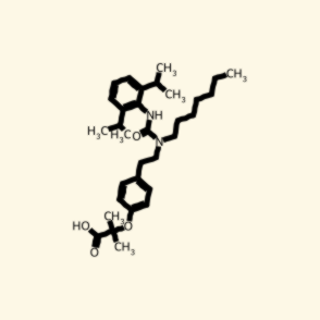 CCCCCCCN(CCc1ccc(OC(C)(C)C(=O)O)cc1)C(=O)Nc1c(C(C)C)cccc1C(C)C